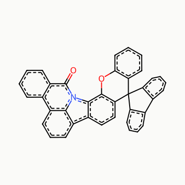 O=c1c2ccccc2c2cccc3c4ccc5c(c4n1c23)Oc1ccccc1C51c2ccccc2-c2ccccc21